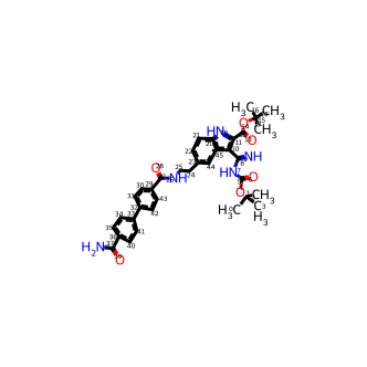 CC(C)(C)OC(=O)NC(=N)c1c(C(=O)OC(C)(C)C)[nH]c2ccc(CCNC(=O)c3ccc(-c4ccc(C(N)=O)cc4)cc3)cc12